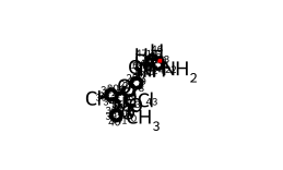 COC(=O)c1c(Cc2ccc(C(=O)N[C@H]3[C@@H]4C[C@H]5C[C@H]3C[C@](N)(C5)C4)cc2)c(=O)c2ccc(Cl)cc2n1-c1ccccc1.Cl